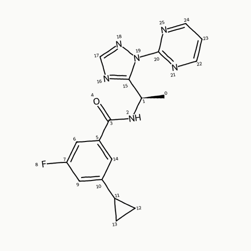 C[C@@H](NC(=O)c1cc(F)cc(C2CC2)c1)c1ncnn1-c1ncccn1